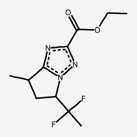 CCOC(=O)c1nc2n(n1)C(C(C)(F)F)CC2C